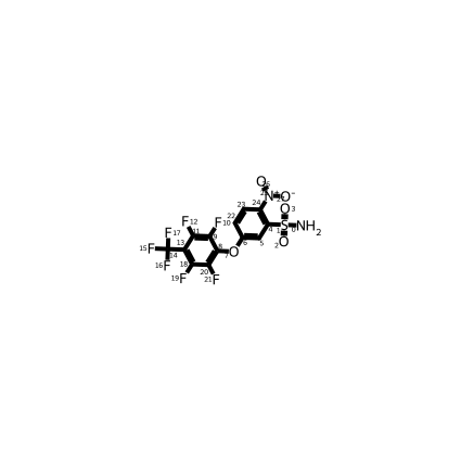 NS(=O)(=O)c1cc(Oc2c(F)c(F)c(C(F)(F)F)c(F)c2F)ccc1[N+](=O)[O-]